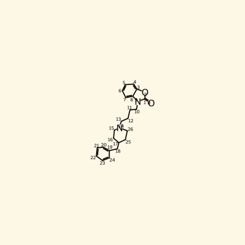 O=c1oc2ccccc2n1CCCCN1CCC(Cc2ccccc2)CC1